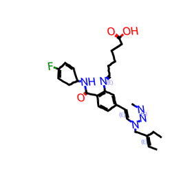 C/C=C(\CC)CN(/C=C/c1ccc(C(=O)NC2C=CC(F)=CC2)c(/N=C/CCCCC(=O)O)c1)/N=N\C